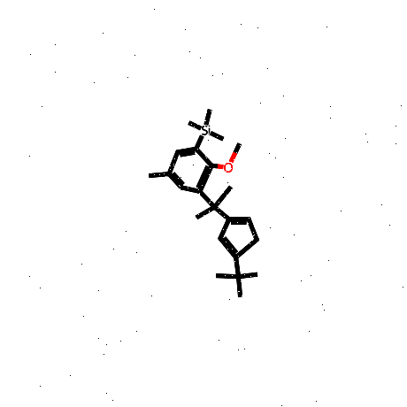 COc1c(C(C)(C)C2=CCC(C(C)(C)C)=C2)cc(C)cc1[Si](C)(C)C